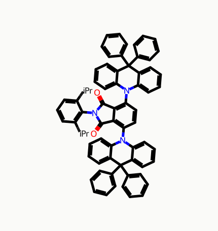 CC(C)c1cccc(C(C)C)c1N1C(=O)c2c(N3c4ccccc4C(c4ccccc4)(c4ccccc4)c4ccccc43)ccc(N3c4ccccc4C(c4ccccc4)(c4ccccc4)c4ccccc43)c2C1=O